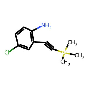 CS(C)(C)C#Cc1cc(Cl)ccc1N